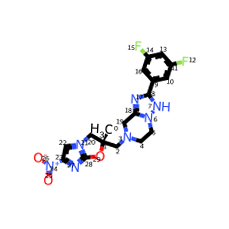 C[C@]1(CN2CCN3NC(c4cc(F)cc(F)c4)N=C3C2)Cn2cc([N+](=O)[O-])nc2O1